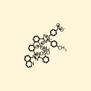 Cc1ccc(-[n+]2nc(-c3cccc(-c4cccc(-n5nc(-c6ccccc6S(=O)(=O)O)n[n+]5-c5cccc6cccnc56)c4)c3S(=O)(=O)O)nn2-c2ccc([N+](=O)[O-])cc2)cc1